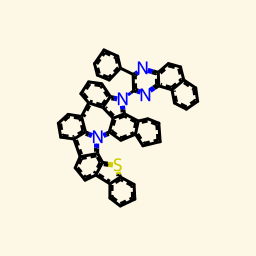 c1ccc(-c2nc3ccc4ccccc4c3nc2-n2c3cccc4c5cccc6c7ccc8c9ccccc9sc8c7n(c7cc8ccccc8c2c7c43)c56)cc1